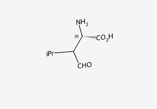 CC(C)C(C=O)[C@H](N)C(=O)O